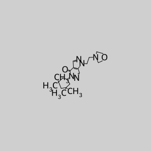 CC1(C)CC(n2ncc3c(cnn3CCN3CCOCC3)c2=O)CC(C)(C)C1